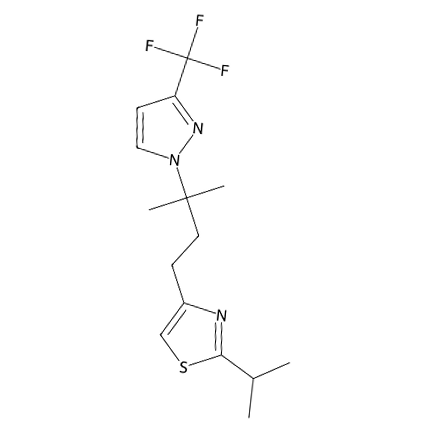 CC(C)c1nc(CCC(C)(C)n2ccc(C(F)(F)F)n2)cs1